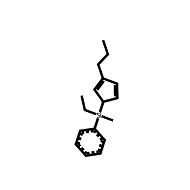 CCCC1=C[C]([Si](C)(CC)c2ccccc2)C=C1